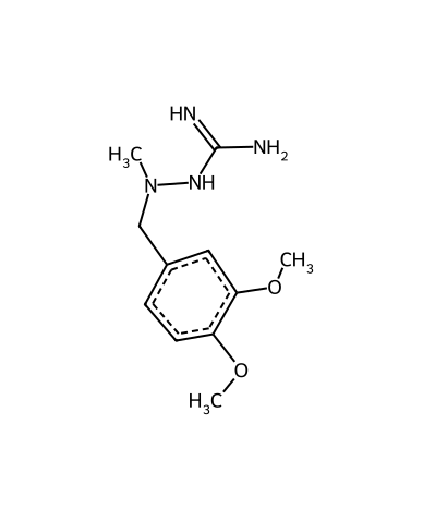 COc1ccc(CN(C)NC(=N)N)cc1OC